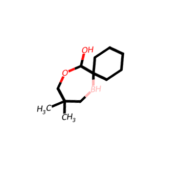 CC1(C)CBC2(CCCCC2)C(O)OC1